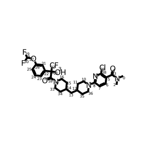 CN(C)C(=O)c1ccc(N2CCC(CC3CCN(C(=O)C(O)(c4cccc(OC(F)F)c4)C(F)(F)F)CC3)CC2)nc1Cl